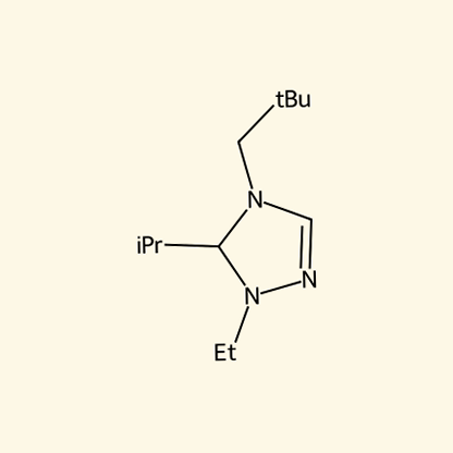 CCN1N=CN(CC(C)(C)C)C1C(C)C